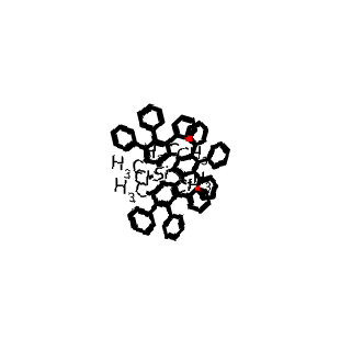 Cc1c(-c2ccccc2)c(-c2ccccc2)c(-c2ccccc2)c(C)c1[Si](Cl)(c1c(C)c(-c2ccccc2)c(-c2ccccc2)c(-c2ccccc2)c1C)c1c(C)c(-c2ccccc2)c(-c2ccccc2)c(-c2ccccc2)c1C